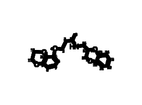 CC(CCOc1cccc2c1OCCO2)NCC1COc2ccccc2O1